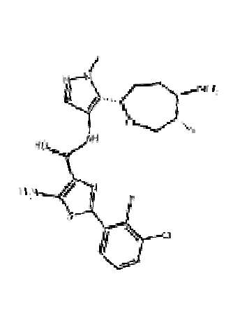 Cn1ncc(NC(O)c2nc(-c3cccc(Cl)c3F)sc2N)c1[C@@H]1CC[C@@H](N)[C@H](F)CO1